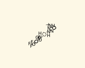 CC(C)(C)Nc1nc(NC[C@H]2CC[C@H](CNS(=O)(=O)c3ccc(OC(F)(F)F)cc3)CC2)nc2ccccc12